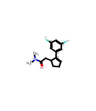 CN(C)C(=O)CC1CCC=C1c1cc(F)cc(F)c1